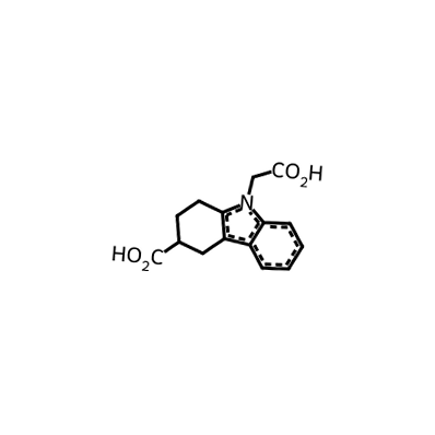 O=C(O)Cn1c2c(c3ccccc31)CC(C(=O)O)CC2